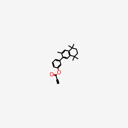 C#CC(=O)Oc1cccc(-c2cc3c(cc2C)C(C)(C)CCC3(C)C)c1